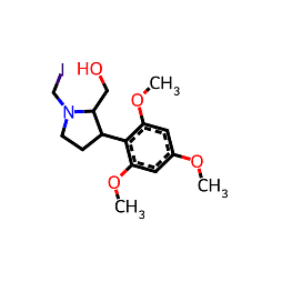 COc1cc(OC)c(C2CCN(CI)C2CO)c(OC)c1